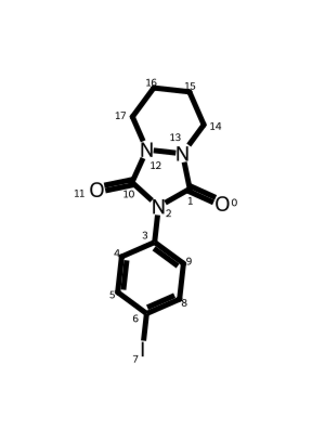 O=c1n(-c2ccc(I)cc2)c(=O)n2n1CCCC2